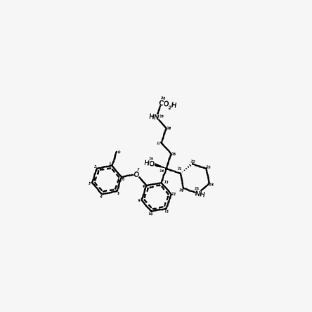 Cc1ccccc1Oc1ccccc1[C@](O)(CCCNC(=O)O)[C@@H]1CCCNC1